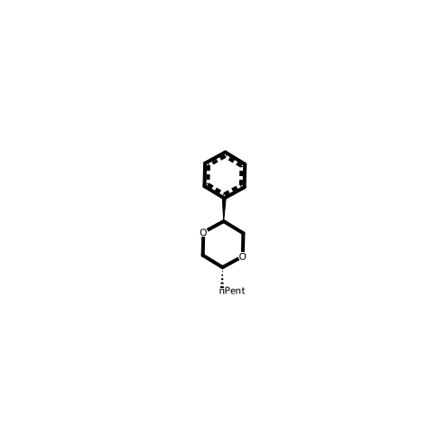 CCCCC[C@@H]1CO[C@@H](c2ccccc2)CO1